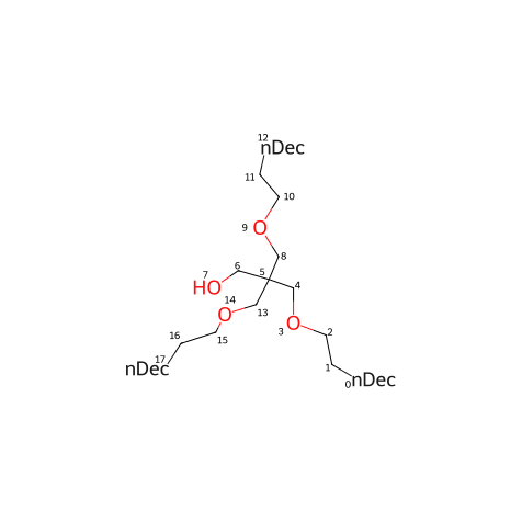 CCCCCCCCCCCCOCC(CO)(COCCCCCCCCCCCC)COCCCCCCCCCCCC